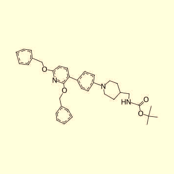 CC(C)(C)OC(=O)NCC1CCN(c2ccc(-c3ccc(OCc4ccccc4)nc3OCc3ccccc3)cc2)CC1